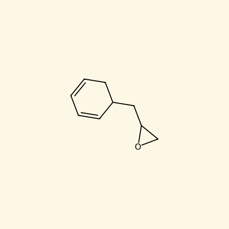 C1=CCC(CC2CO2)C=C1